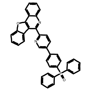 O=P(c1ccccc1)(c1ccccc1)c1ccc(-c2ccc(-c3nc4ccccc4c4oc5ccccc5c34)nc2)cc1